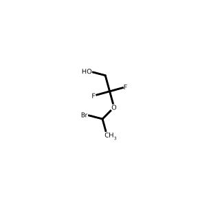 CC(Br)OC(F)(F)CO